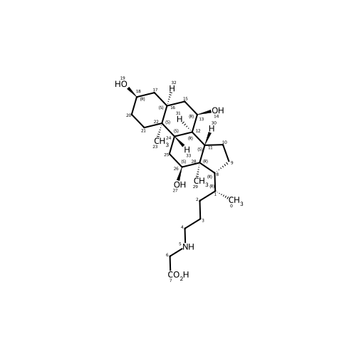 C[C@H](CCCNCC(=O)O)[C@H]1CC[C@H]2[C@@H]3[C@H](O)C[C@@H]4C[C@H](O)CC[C@]4(C)[C@H]3C[C@H](O)[C@]12C